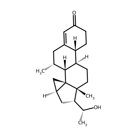 C[C@@H]1CC2=CC(=O)CC[C@@H]2[C@H]2CC[C@]3(C)[C@H]([C@@H](C)O)C[C@H]4C[C@]43[C@@H]21